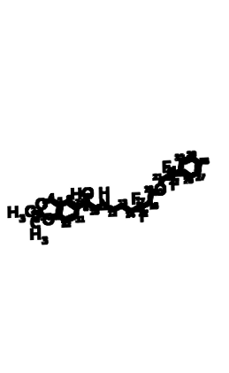 CC1(C)OCc2cc([C@@H](O)CNCCCC(F)(F)CCOCC(F)(F)c3ccccc3)ccc2O1